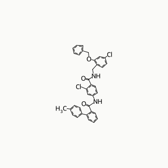 Cc1ccc(-c2ccccc2C(=O)Nc2ccc(C(=O)NCc3ccc(Cl)cc3OCc3ccccc3)c(Cl)c2)cc1